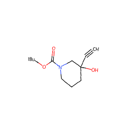 C#CC1(O)CCCN(C(=O)OC(C)(C)C)C1